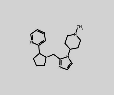 CN1CCC(n2ccnc2CN2CCCC2c2ccccn2)CC1